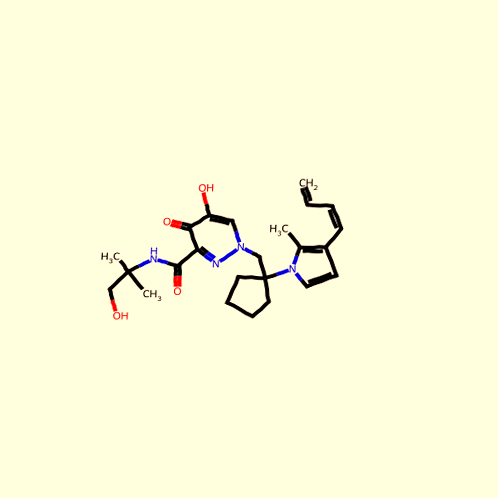 C=C/C=C\c1ccn(C2(Cn3cc(O)c(=O)c(C(=O)NC(C)(C)CO)n3)CCCC2)c1C